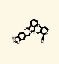 N#Cc1nccc(Cl)c1C[C@H]1c2ccccc2C(=O)N1Cc1ccc2[nH]nnc2c1